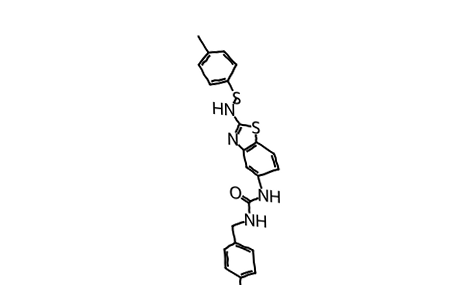 Cc1ccc(CNC(=O)Nc2ccc3sc(NSc4ccc(C)cc4)nc3c2)cc1